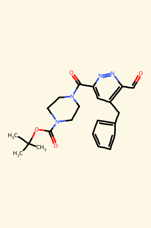 CC(C)(C)OC(=O)N1CCN(C(=O)c2cc(Cc3ccccc3)c(C=O)nn2)CC1